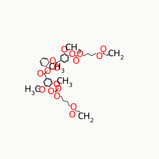 C=CC(=O)OCCCCOC(=O)Oc1ccc(C(=O)OC2(C)C=CC=CC2OC(=O)c2cc(OC)c(OC(=O)OCCCCOC(=O)C=C)c(OC)c2)cc1OC